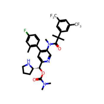 Cc1cc(F)ccc1-c1cc(C(OC(=O)N(C)C)[C@@H]2CCCN2)ncc1N(C)C(=O)C(C)(C)c1cc(C(F)(F)F)cc(C(F)(F)F)c1